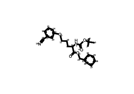 CC(C)(C)OC(=O)NC(CCCOc1cccc(C#N)c1)C(=O)OCc1ccccc1